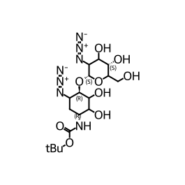 CC(C)(C)OC(=O)N[C@@H]1CC(N=[N+]=[N-])[C@@H](O[C@H]2OC(CO)[C@@H](O)C(O)C2N=[N+]=[N-])C(O)C1O